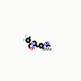 COc1cc(/C=C2\CCCN3C2=NOCC[C@H]3c2cc(C)c(F)c(F)c2)ccc1-n1cnc(C)c1